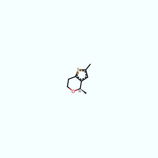 Cc1cc2c(s1)CCO[C@@H]2C